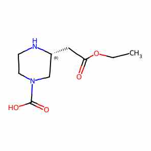 CCOC(=O)C[C@@H]1CN(C(=O)O)CCN1